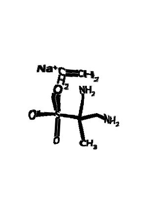 C=C.CC(N)(N)S(=O)(=O)[O-].[Na+]